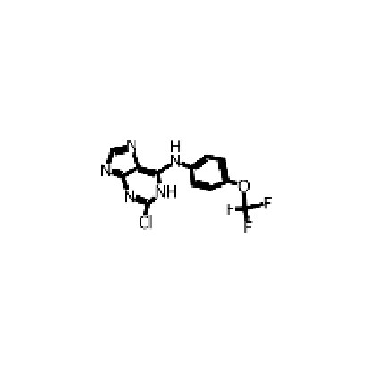 FC(F)(F)Oc1ccc(Nc2[nH]c(Cl)nc3ncnc2-3)cc1